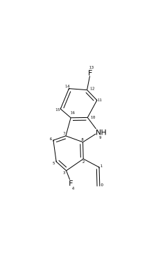 C=Cc1c(F)ccc2c1[nH]c1cc(F)ccc12